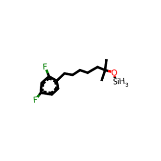 CC(C)(CCCCCc1ccc(F)cc1F)O[SiH3]